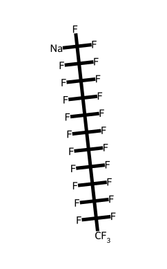 FC(F)(F)C(F)(F)C(F)(F)C(F)(F)C(F)(F)C(F)(F)C(F)(F)C(F)(F)C(F)(F)C(F)(F)C(F)(F)[C](F)(F)[Na]